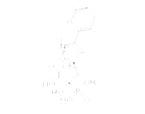 O=P(O)(O)C(O)(Cc1cc(-c2ccccc2)no1)P(=O)(O)O